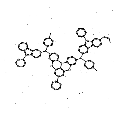 C/C=C\c1ccc2c3cc(N(c4ccc(C)cc4)c4ccc5c(c4)Oc4cc(-c6ccccc6)cc6c4B5c4ccc(N(c5ccc(C)cc5)c5ccc7c(c5)c5ccccc5n7-c5ccccc5)cc4O6)ccc3n(-c3ccccc3)c2c1